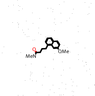 CNC(=O)CCCc1cccc2ccc(OC)cc12